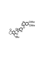 COc1cc2ncnc(Oc3ccc(NC(=O)c4cc5c(n(CC(C)(C)C)c4=O)CCCC5=O)nc3)c2cc1OC